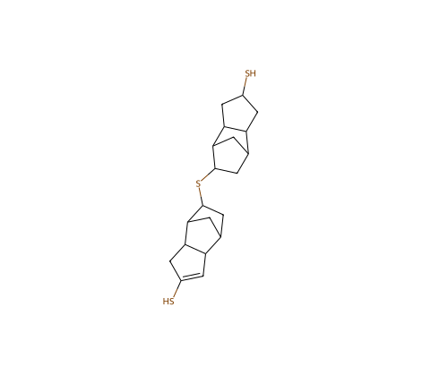 SC1=CC2C3CC(SC4CC5CC4C4CC(S)CC54)C(C3)C2C1